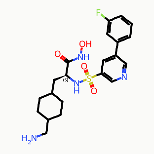 NCC1CCC(C[C@H](NS(=O)(=O)c2cncc(-c3cccc(F)c3)c2)C(=O)NO)CC1